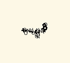 CC(C)(C)OC(=O)NCCOc1cnc(NCc2c(F)ccc3c2CCO3)n2cnnc12